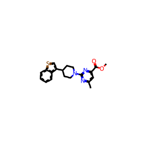 COC(=O)c1cc(C)nc(N2CCC(c3csc4ccccc34)CC2)n1